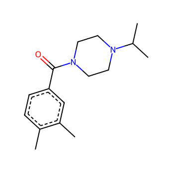 Cc1ccc(C(=O)N2CCN(C(C)C)CC2)cc1C